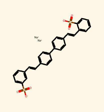 O=S(=O)([O-])c1cccc(C=Cc2ccc(-c3ccc(C=Cc4ccccc4S(=O)(=O)[O-])cc3)cc2)c1.[Na+].[Na+]